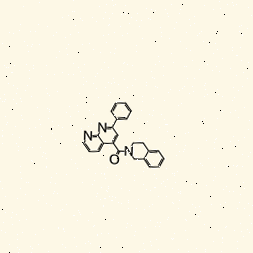 O=C(c1cc(-c2ccccc2)nc2ncccc12)N1CCc2ccccc2C1